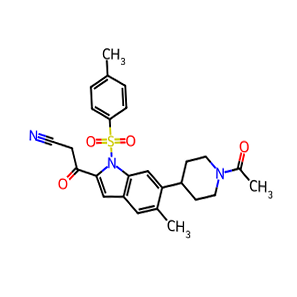 CC(=O)N1CCC(c2cc3c(cc2C)cc(C(=O)CC#N)n3S(=O)(=O)c2ccc(C)cc2)CC1